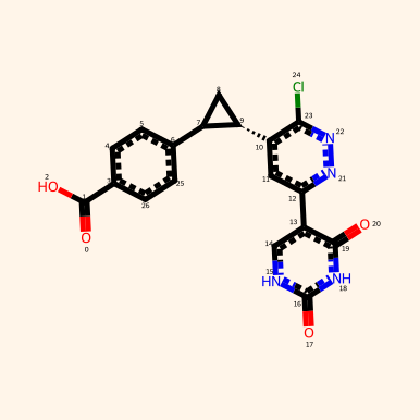 O=C(O)c1ccc(C2C[C@@H]2c2cc(-c3c[nH]c(=O)[nH]c3=O)nnc2Cl)cc1